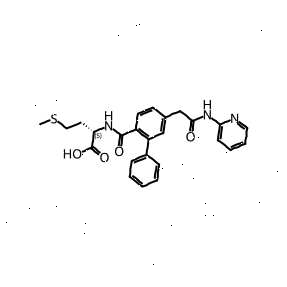 CSCC[C@H](NC(=O)c1ccc(CC(=O)Nc2ccccn2)cc1-c1ccccc1)C(=O)O